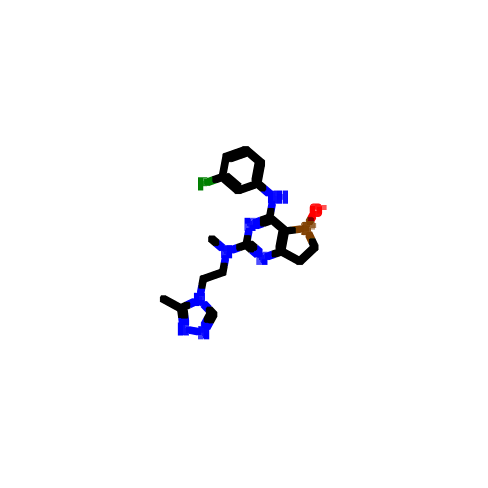 Cc1nncn1CCN(C)c1nc2c(c(Nc3cccc(F)c3)n1)[S+]([O-])CC2